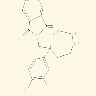 Cl.O=C1c2ccccc2C(=O)N1CC1(c2ccc(Cl)c(Cl)c2)CCNCCO1